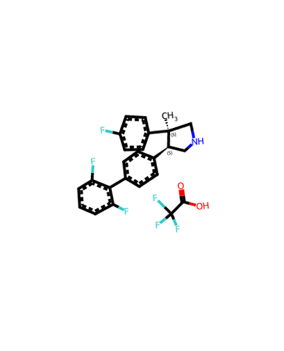 C[C@]1(c2ccc(F)cc2)CNC[C@H]1c1ccc(-c2c(F)cccc2F)cc1.O=C(O)C(F)(F)F